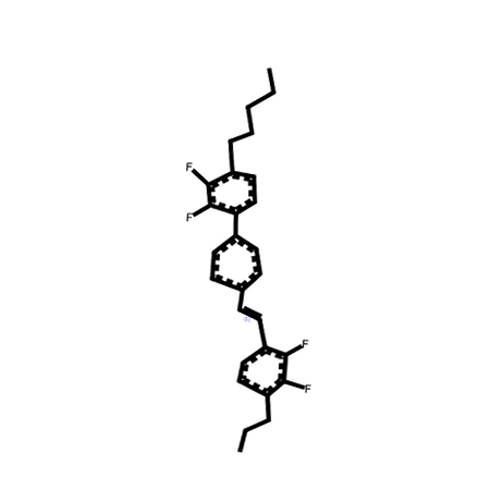 CCCCCc1ccc(-c2ccc(/C=C/c3ccc(CCC)c(F)c3F)cc2)c(F)c1F